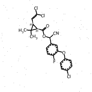 CC1(C)[C@H](C(=O)OC(C#N)c2ccc(F)c(Oc3ccc(Cl)cc3)c2)[C@@H]1C=C(Cl)Cl